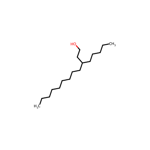 CCCCCCCCCC(CCO)CCCCC